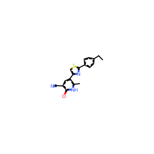 CCc1ccc(-c2nc(-c3cc(C#N)c(=O)[nH]c3C)cs2)cc1